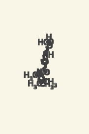 Cc1nn(C(=O)CCc2ccc(CNCCCO[PH](=O)O)cc2)c2c1CC(C)(C)C(C)C2